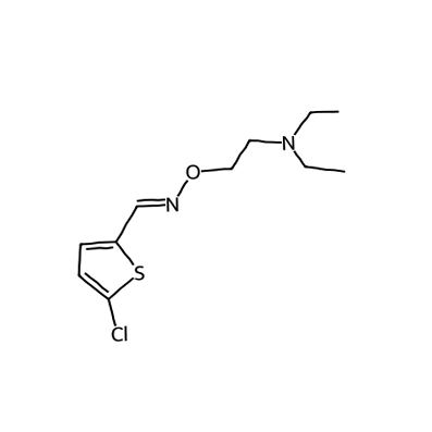 CCN(CC)CCON=Cc1ccc(Cl)s1